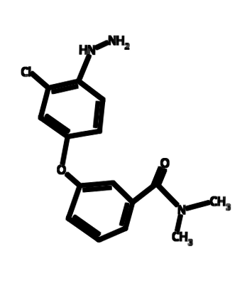 CN(C)C(=O)c1cccc(Oc2ccc(NN)c(Cl)c2)c1